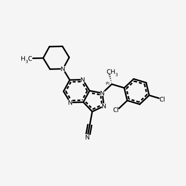 CC1CCCN(c2cnc3c(C#N)nn([C@H](C)c4ccc(Cl)cc4Cl)c3n2)C1